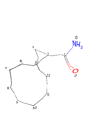 NC(=O)C1CC12CCCCCCC2